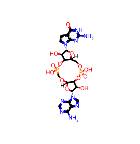 Nc1nc2c(ccn2[C@@H]2O[C@@H]3COP(=O)(O)OC4C(O)[C@H](n5cnc6c(N)ncnc65)O[C@@H]4OCP(=O)(O)OC3C2O)c(=O)[nH]1